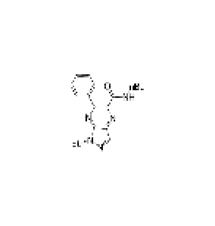 CCCCNC(=O)c1nc2cnn(CC)c2nc1-c1ccccc1